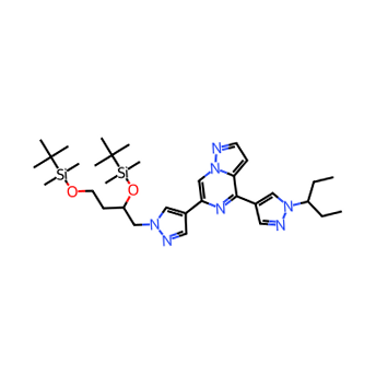 CCC(CC)n1cc(-c2nc(-c3cnn(CC(CCO[Si](C)(C)C(C)(C)C)O[Si](C)(C)C(C)(C)C)c3)cn3nccc23)cn1